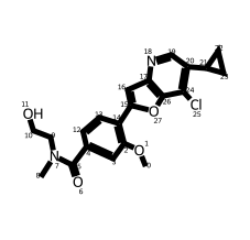 COc1cc(C(=O)N(C)CCO)ccc1-c1cc2ncc(C3CC3)c(Cl)c2o1